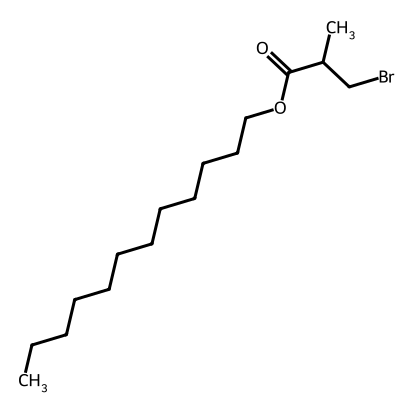 CCCCCCCCCCCCOC(=O)C(C)CBr